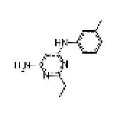 CCc1nc(N)cc(Nc2cccc(C)c2)n1